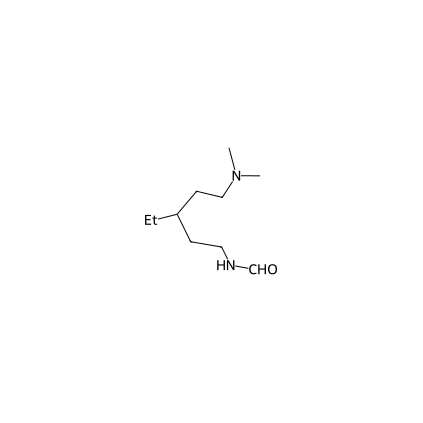 CCC(CCNC=O)CCN(C)C